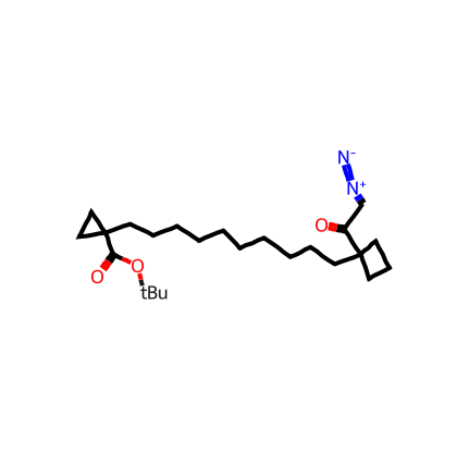 CC(C)(C)OC(=O)C1(CCCCCCCCCCC2(C(=O)C=[N+]=[N-])CCC2)CC1